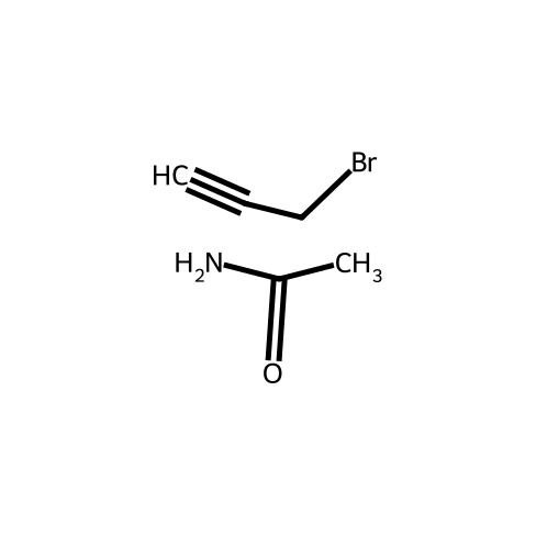 C#CCBr.CC(N)=O